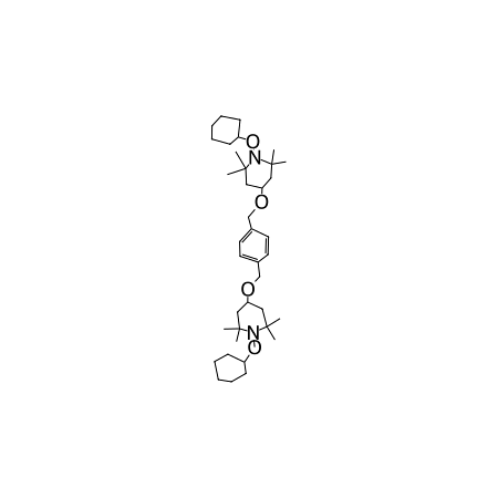 CC1(C)CC(OCc2ccc(COC3CC(C)(C)N(OC4CCCCC4)C(C)(C)C3)cc2)CC(C)(C)N1OC1CCCCC1